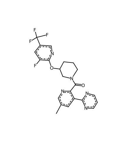 Cc1cnc(C(=O)N2CCCC(Oc3ncc(C(F)(F)F)cc3F)C2)c(-c2ncccn2)c1